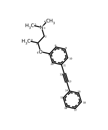 CC(CN(C)C)Oc1cccc(C#Cc2ccccc2)c1